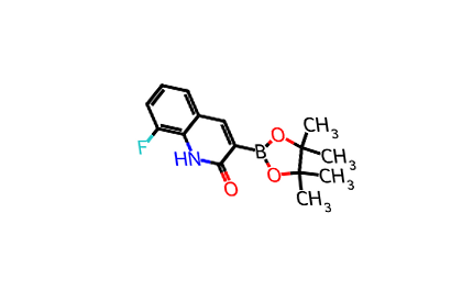 CC1(C)OB(c2cc3cccc(F)c3[nH]c2=O)OC1(C)C